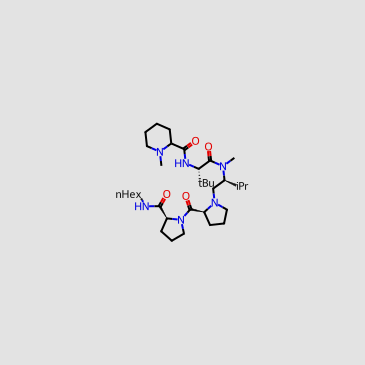 CCCCCCNC(=O)[C@@H]1CCCN1C(=O)[C@@H]1CCCN1C[C@H](C(C)C)N(C)C(=O)[C@@H](NC(=O)C1CCCCN1C)C(C)(C)C